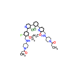 CCC(=O)N1CCC(NCc2ccc(-c3cccc(-c4ccnc(-c5cc(F)c(CNC6CCN(C(=O)CC)CC6)c(OC)c5)c4Cl)c3Cl)nc2OC)CC1